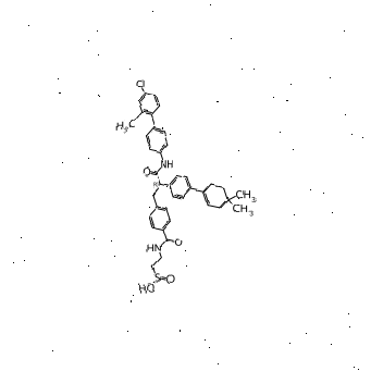 Cc1cc(Cl)ccc1-c1ccc(NC(=O)[C@H](Cc2ccc(C(=O)NCCS(=O)O)cc2)c2ccc(C3=CCC(C)(C)CC3)cc2)cc1